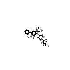 COC(=O)N1CCC(n2c(=O)n(C)c3cc(-c4ccccc4C)ccc32)CC1